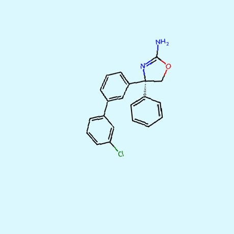 NC1=N[C@](c2ccccc2)(c2cccc(-c3cccc(Cl)c3)c2)CO1